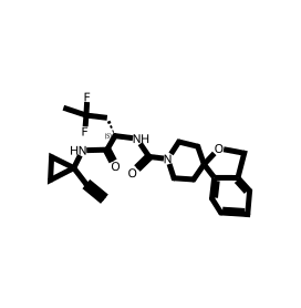 C#CC1(NC(=O)[C@H](CC(C)(F)F)NC(=O)N2CCC3(CC2)OCc2ccccc23)CC1